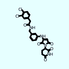 O=C(Cc1ccc(Cl)c(Cl)c1)NCc1cccc(NC2=CC(=O)N(C3CCC(=O)NC3=O)C2=O)c1